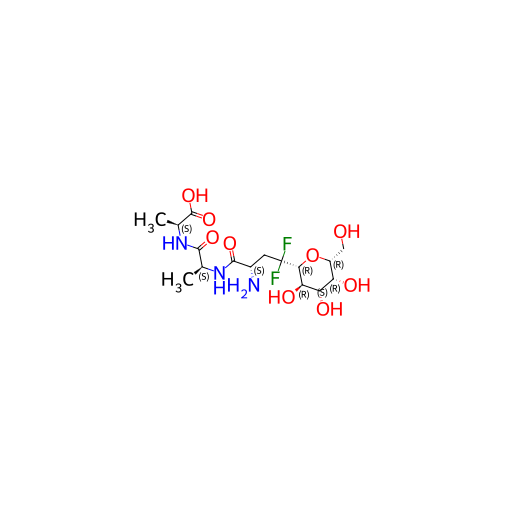 C[C@H](NC(=O)[C@H](C)NC(=O)[C@@H](N)CC(F)(F)[C@@H]1O[C@H](CO)[C@H](O)[C@H](O)[C@H]1O)C(=O)O